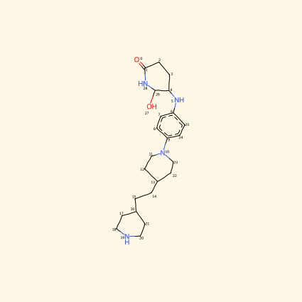 O=C1CCC(Nc2ccc(N3CCC(CCC4CCNCC4)CC3)cc2)C(O)N1